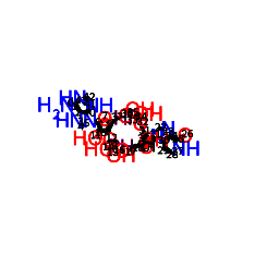 NC1=C2NCN(c3oc4c(c3O)O[PH](O)(O)O/C=C3/OC(n5cnc6c(=O)[nH]ccc65)=C(O[PH](O)(O)OC4)[C@@H]3O)C2NCN1